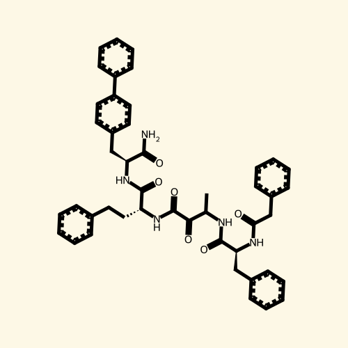 CC(NC(=O)[C@H](Cc1ccccc1)NC(=O)Cc1ccccc1)C(=O)C(=O)N[C@H](CCc1ccccc1)C(=O)N[C@@H](Cc1ccc(-c2ccccc2)cc1)C(N)=O